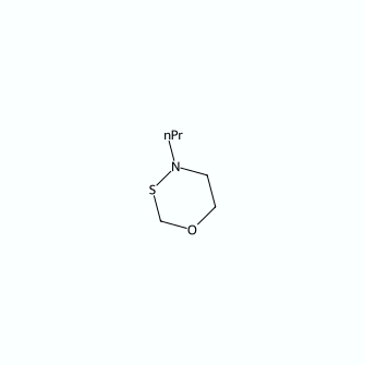 [CH2]CCN1CCOCS1